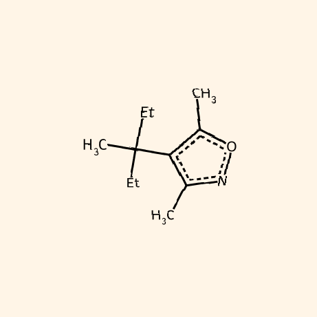 CCC(C)(CC)c1c(C)noc1C